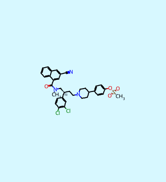 CN(C[C@@H](CCN1CCC(c2ccc(OS(C)(=O)=O)cc2)CC1)c1ccc(Cl)c(Cl)c1)C(=O)c1cc(C#N)cc2ccccc12